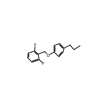 [CH2]CCc1ccc(OCc2c(F)cccc2F)cc1